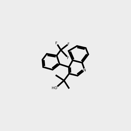 CC(C)(O)c1cnc2c[c]ccc2c1-c1ccccc1C(F)(F)F